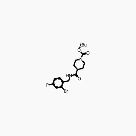 CC(C)(C)OC(=O)N1CCC(C(=O)NCc2ccc(F)cc2Br)CC1